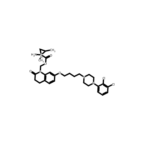 CC1C[SH]1(C)(N)C(=O)OCN1C(=O)CCc2ccc(OCCCCN3CCN(c4cccc(Cl)c4Cl)CC3)cc21